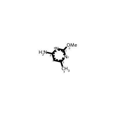 COc1nc(C)cc(N)n1